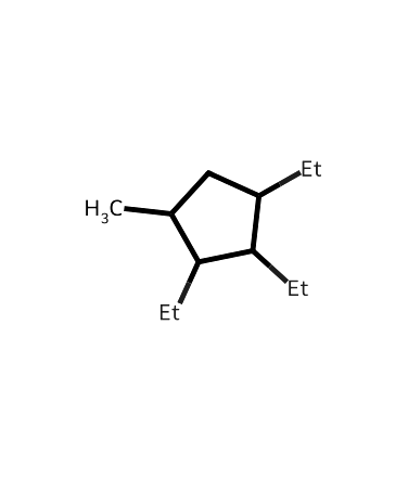 CCC1CC(C)C(CC)C1CC